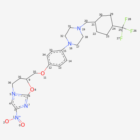 O=[N+]([O-])c1cn2c(n1)OC(COc1ccc(N3CCN(CC4CCC(C(F)(F)F)CC4)CC3)cc1)CC2